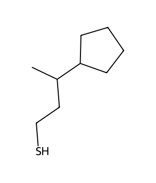 CC(CCS)C1CCCC1